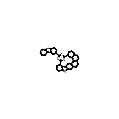 c1ccc(-c2nc(-c3ccc4oc5ccccc5c4c3)nc(-c3cccc4sc5cc6ccc7ccccc7c6cc5c34)n2)cc1